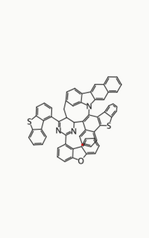 c1ccc2cc3c(cc2c1)c1ccc2cc1n3-c1c(c3ccccc3c3sc4ccccc4c13)C1N=C(c3cccc4oc5ccccc5c34)N=C(c3cccc4sc5ccccc5c34)C1C2